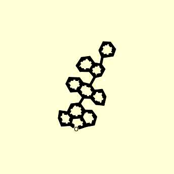 c1ccc(-c2ccc(-c3c4ccccc4c(-c4cc5cccc6oc7cccc4c7c56)c4ccccc34)c3ccccc23)cc1